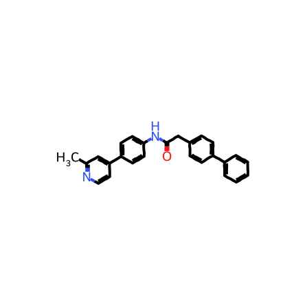 Cc1cc(-c2ccc(NC(=O)Cc3ccc(-c4ccccc4)cc3)cc2)ccn1